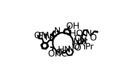 C=CC(=O)N1CCC(O)(C(=O)N(C)[C@H](C(=O)N[C@H]2Cc3cc(O)cc(c3)-c3cc4c(c(-c5ccccc5CCOC)n(CC)c4cn3)CC(C)(C)COC[C@@]3(C=O)CCCN(N3)C2=O)C(C)C)C1